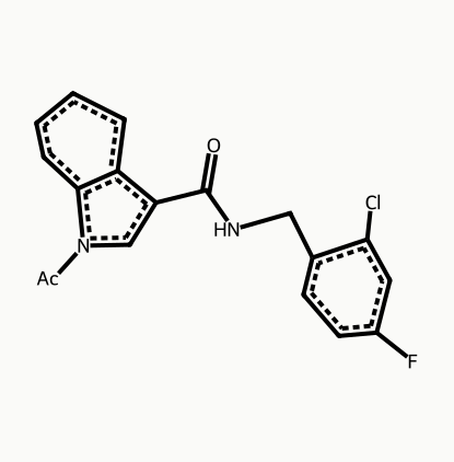 CC(=O)n1cc(C(=O)NCc2ccc(F)cc2Cl)c2ccccc21